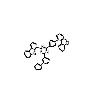 c1ccc(-c2cccc(-c3nc(-c4ccc(-c5cccc6c5-c5ccccc5OC6)cc4)nc(-c4cccc5c4sc4ccccc45)n3)c2)cc1